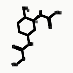 CCCCC(=O)N[C@H]1CC(NC(=O)OC(C)(C)C)CCC1N